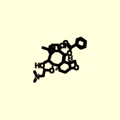 CC1=C2C(C)[C@@H](O[C@@H](O)CN(C)C)[C@]3(C)CCC4OC[C@H]4/C3=C(\OC(=O)c3ccccc3)[C@](O)(CC1)C2(C)C